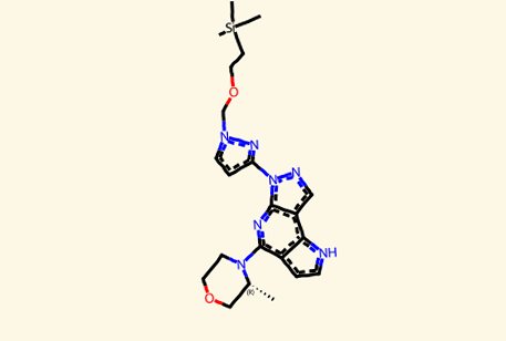 C[C@@H]1COCCN1c1nc2c(cnn2-c2ccn(COCC[Si](C)(C)C)n2)c2[nH]ccc12